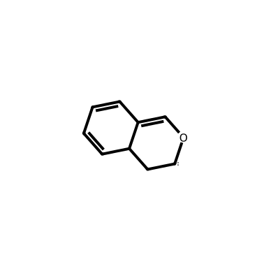 [C]1CC2C=CC=CC2=CO1